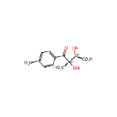 O=C(O)[C@H](O)[C@@](O)(C(=O)O)C(=O)c1ccc([N+](=O)[O-])cc1